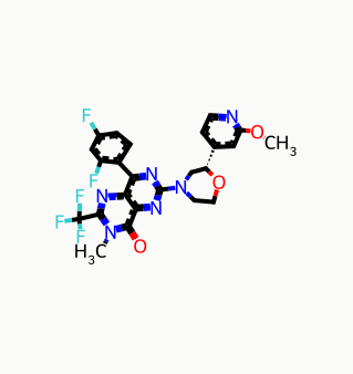 COc1cc([C@H]2CN(c3nc(-c4ccc(F)cc4F)c4nc(C(F)(F)F)n(C)c(=O)c4n3)CCO2)ccn1